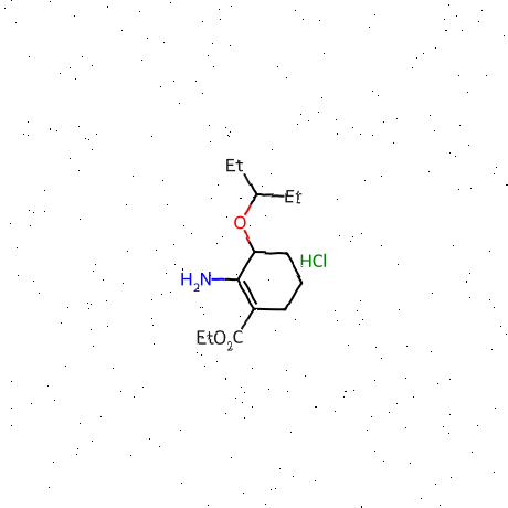 CCOC(=O)C1=C(N)C(OC(CC)CC)CCC1.Cl